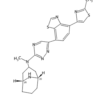 Cc1nc(-c2ccc(-c3cnc(N(C)C4C[C@H]5CCC[C@@H](C4)N5)nn3)c3scnc23)cs1